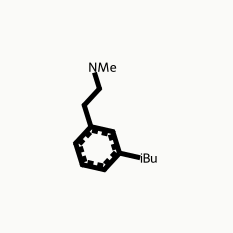 CCC(C)c1cccc(CCNC)c1